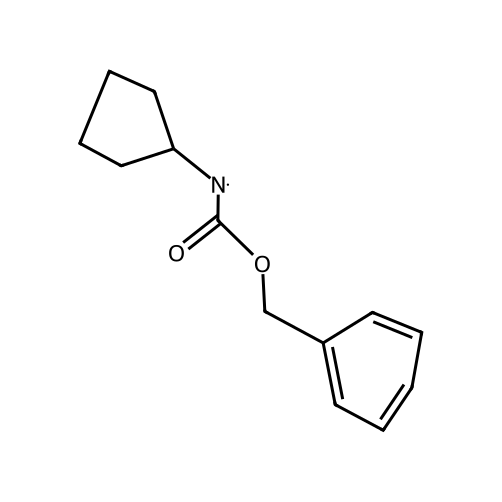 O=C([N]C1CCCC1)OCc1ccccc1